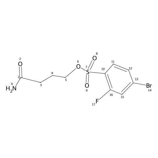 NC(=O)CCCOS(=O)(=O)c1ccc(Br)cc1F